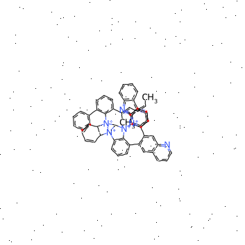 C/C=C\C=C(/C)c1cccc(-c2ccccc2)c1[N+]12C3C=CC=CC3[N+]13c1cccc4c1[N+]1(c5c(ccc6c7ccccc7n(c56)-c5cccc[n+]51)-c1cc5ncccc5cc1-4)C32